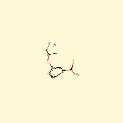 COC(=O)c1cccc(OC2CCNC2)c1